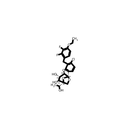 CCOc1ccc(Cc2cc([C@]34OC[C@](C(C)O)(O3)[C@@H](O)[C@H](O)[C@H]4O)ccc2Cl)c(F)c1F